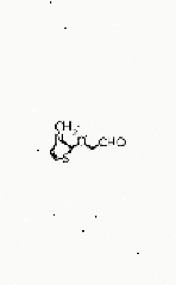 [CH2]N1C=CSC1OCC=O